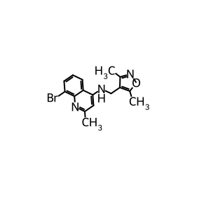 Cc1cc(NCc2c(C)noc2C)c2cccc(Br)c2n1